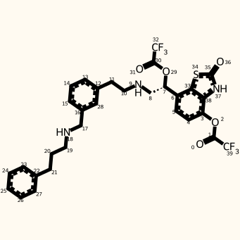 O=C(Oc1ccc([C@H](CNCCc2cccc(CNCCCc3ccccc3)c2)OC(=O)C(F)(F)F)c2sc(=O)[nH]c12)C(F)(F)F